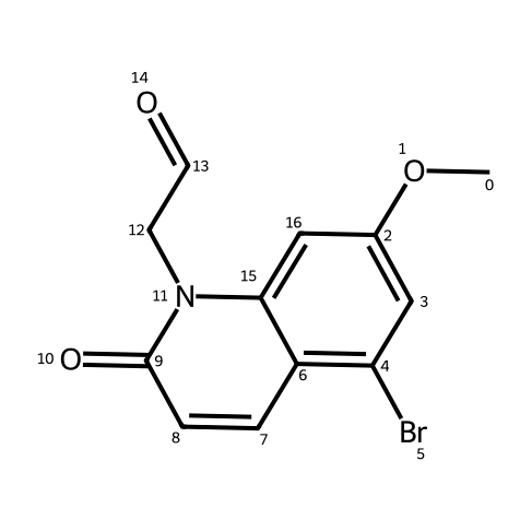 COc1cc(Br)c2ccc(=O)n(CC=O)c2c1